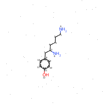 NCCCCC(N)Cc1ccc(O)cc1